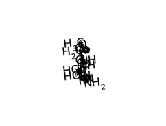 C=C(CCC(=O)NS(=O)(=O)NC[C@H]1O[C@@H](n2cnc3c(N)ncnc32)[C@H](O)[C@@H]1O)c1ccccc1C(=O)OC